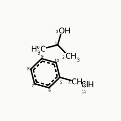 CC(C)O.Cc1ccccc1.Cl